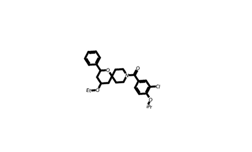 CCOC1CC(c2ccccc2)OC2(CCN(C(=O)c3ccc(OC(C)C)c(Cl)c3)CC2)C1